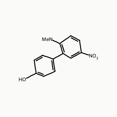 CNc1ccc([N+](=O)[O-])cc1-c1ccc(O)cc1